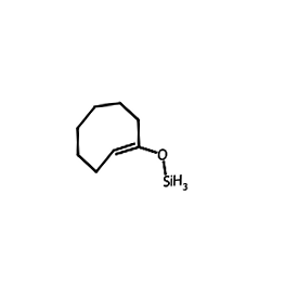 [SiH3]O/C1=C\CCCCCC1